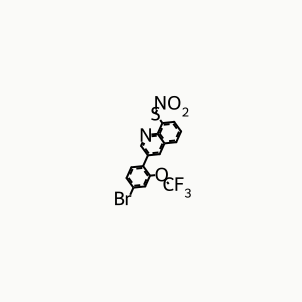 O=[N+]([O-])Sc1cccc2cc(-c3ccc(Br)cc3OC(F)(F)F)cnc12